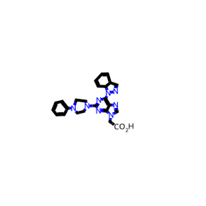 O=C(O)Cn1cnc2c(N3N=CC4C=CC=CC43)nc(N3CCN(c4ccccc4)CC3)nc21